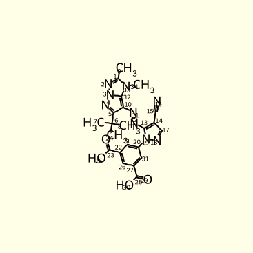 Cc1nn2nc(C(C)(C)C)c(/N=N/c3c(C#N)cnn3-c3cc(C(=O)O)cc(C(=O)O)c3)c2n1C